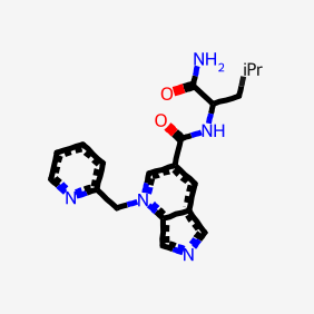 CC(C)CC(NC(=O)c1cc2cncc-2n(Cc2ccccn2)c1)C(N)=O